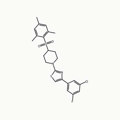 Cc1cc(C)c(S(=O)(=O)C2CCN(c3nc(-c4cc(F)cc(Cl)c4)cs3)CC2)c(C)c1